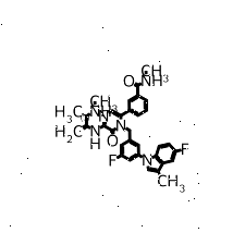 C=C(Nc1ncc(-c2cccc(C(=O)NC)c2)n(Cc2cc(F)cc(-n3cc(C)c4cc(F)ccc43)c2)c1=O)[C@H](C)NC